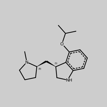 CC(C)Oc1cccc2c1[C@H](C[C@H]1CCCN1C)CN2